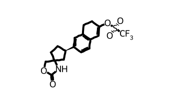 O=C1NC2(CC[C@@H](c3ccc4c(c3)CCC(OS(=O)(=O)C(F)(F)F)=C4)C2)CO1